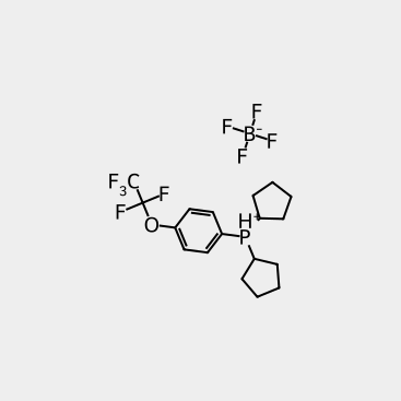 FC(F)(F)C(F)(F)Oc1ccc([PH+](C2CCCC2)C2CCCC2)cc1.F[B-](F)(F)F